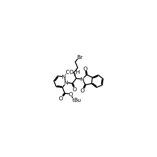 CC(C)(C)OC(=O)C1=CC=CN(C(=O)O)N1C(=O)C(CCCBr)N1C(=O)c2ccccc2C1=O